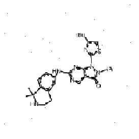 CC(C)n1c(=O)c2cnc(Nc3ccc4c(c3)CCNC4(C)C)nc2n1-c1nc(C(C)(C)C)cs1